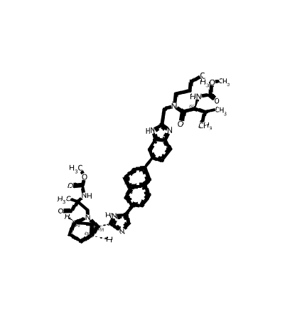 CCCCN(Cc1nc2ccc(-c3ccc4cc(-c5cnc([C@@H]6[C@H]7CC[C@H](C7)N6CC(C)(C=O)NC(=O)OC)[nH]5)ccc4c3)cc2[nH]1)C(=O)[C@@H](NC(=O)OC)C(C)C